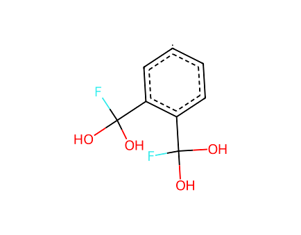 OC(O)(F)c1c[c]ccc1C(O)(O)F